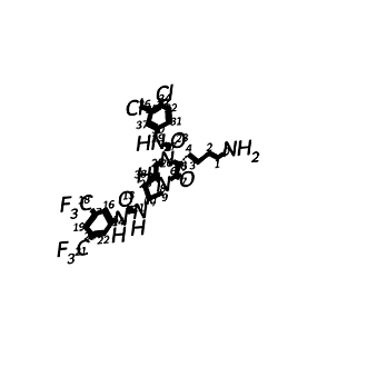 NCCCC[C@@H]1C(=O)N2C[C@H](NC(=O)Nc3cc(C(F)(F)F)cc(C(F)(F)F)c3)C[C@@H]2CN1C(=O)Nc1ccc(Cl)c(Cl)c1